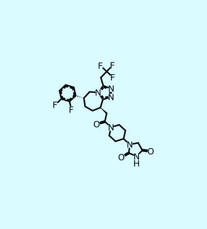 O=C1CN(C2CCN(C(=O)C[C@H]3CC[C@H](c4cccc(F)c4F)Cn4c(CC(F)(F)F)nnc43)CC2)C(=O)N1